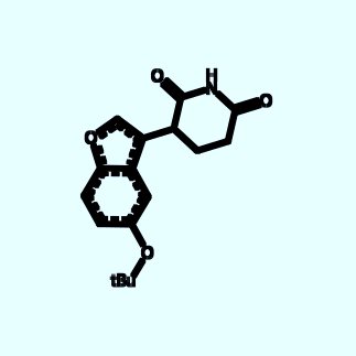 CC(C)(C)Oc1ccc2occ(C3CCC(=O)NC3=O)c2c1